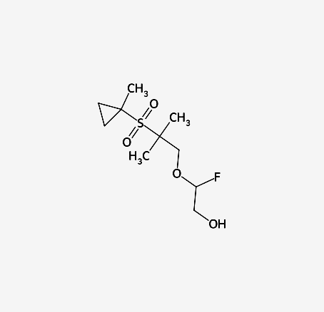 CC(C)(COC(F)CO)S(=O)(=O)C1(C)CC1